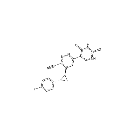 N#Cc1nnc(-c2c[nH]c(=O)[nH]c2=O)cc1[C@H]1C[C@@H]1c1ccc(F)cc1